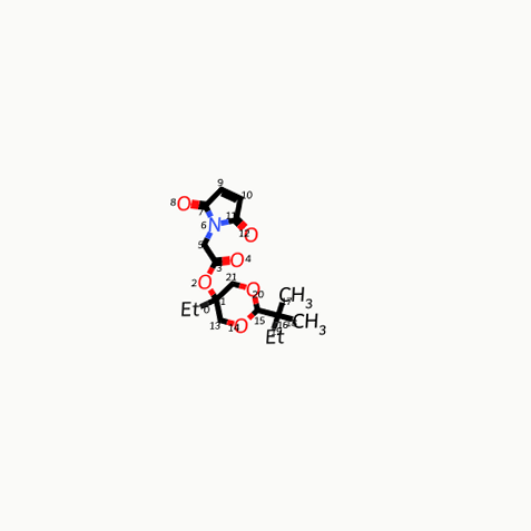 CCC1(OC(=O)CN2C(=O)C=CC2=O)COC(C(C)(C)CC)OC1